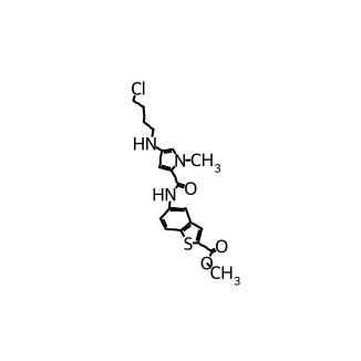 COC(=O)c1cc2cc(NC(=O)c3cc(NCCCCCl)cn3C)ccc2s1